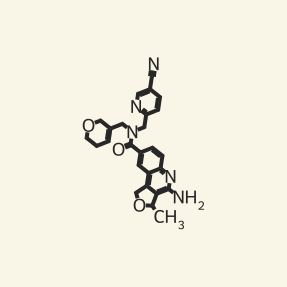 CC1OCc2c1c(N)nc1ccc(C(=O)N(CC3=CCCOC3)Cc3ccc(C#N)cn3)cc21